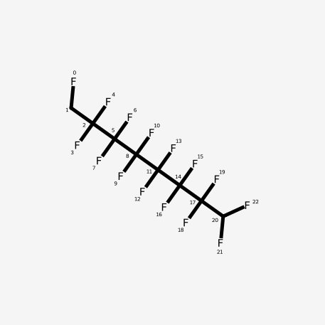 FCC(F)(F)C(F)(F)C(F)(F)C(F)(F)C(F)(F)C(F)(F)[C](F)F